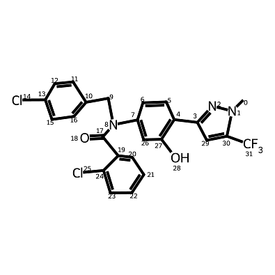 Cn1nc(-c2ccc(N(Cc3ccc(Cl)cc3)C(=O)c3ccccc3Cl)cc2O)cc1C(F)(F)F